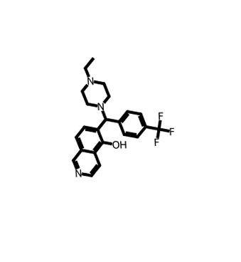 CCN1CCN(C(c2ccc(C(F)(F)F)cc2)c2ccc3cnccc3c2O)CC1